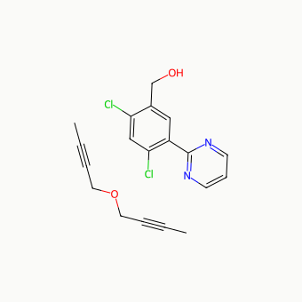 CC#CCOCC#CC.OCc1cc(-c2ncccn2)c(Cl)cc1Cl